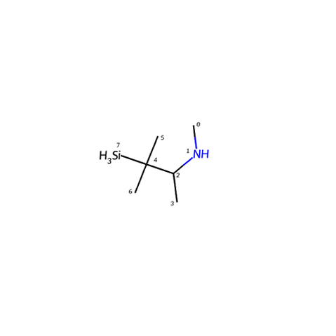 CNC(C)C(C)(C)[SiH3]